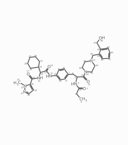 CCC(=O)NC(Cc1ccc(NC(=O)C(NC(=O)c2ccnn2C)C2CCCCC2)cc1)C(=O)N1CCN(Cc2ccccc2CO)CC1